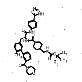 Cc1ccc(C[C@H](NC(=O)C2CCC(CNC(=O)OC(C)(C)C)CC2)C(=O)Nc2ccc(-c3nnn[nH]3)cc2)cc1-c1cccc(C(=O)N2CCOCC2)c1